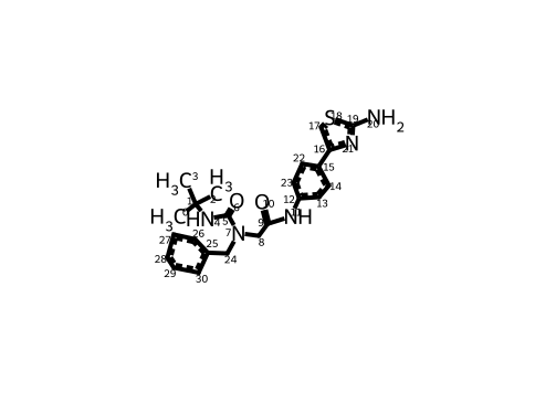 CC(C)(C)NC(=O)N(CC(=O)Nc1ccc(-c2csc(N)n2)cc1)Cc1ccccc1